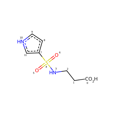 O=C(O)CCNS(=O)(=O)c1cc[nH]c1